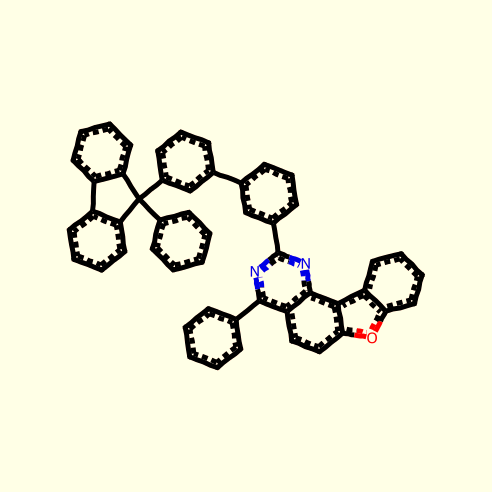 c1ccc(-c2nc(-c3cccc(-c4cccc(C5(c6ccccc6)c6ccccc6-c6ccccc65)c4)c3)nc3c2ccc2oc4ccccc4c23)cc1